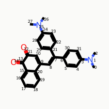 CN(C)c1ccc(C(=CC2=CC(=O)C(=O)c3ccccc32)c2ccc(N(C)C)cc2)cc1